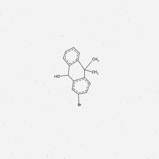 CC1(C)c2ccccc2C(O)c2cc(Br)ccc21